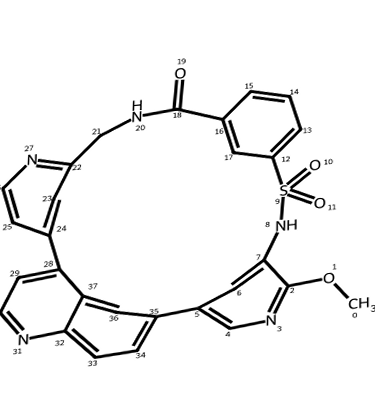 COc1ncc2cc1NS(=O)(=O)c1cccc(c1)C(=O)NCc1cc(ccn1)-c1ccnc3ccc-2cc13